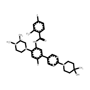 C[C@H]1CN(c2cc(F)c(-c3cnc(N4CCC(C)(O)CC4)nc3)cc2NC(=O)c2ccc(F)cc2C(F)(F)F)CCN1C